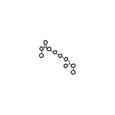 c1ccc(-c2cccc(C(Cc3ccc(-c4ccc(-c5ccc(-c6ccc(N(c7ccccc7)c7cccc(-c8ccccc8)c7)cc6)cc5)cc4)cc3)c3ccccc3)c2)cc1